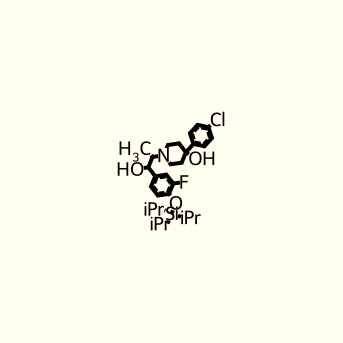 CC(C(O)c1ccc(O[Si](C(C)C)(C(C)C)C(C)C)c(F)c1)N1CCC(O)(c2ccc(Cl)cc2)CC1